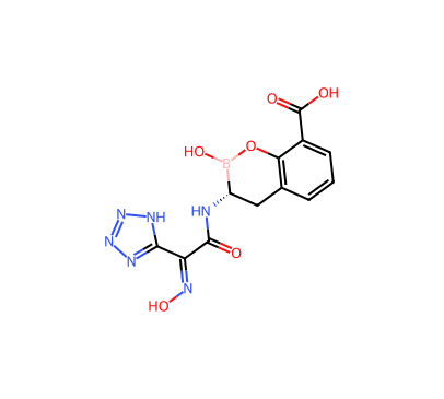 O=C(N[C@H]1Cc2cccc(C(=O)O)c2OB1O)/C(=N/O)c1nnn[nH]1